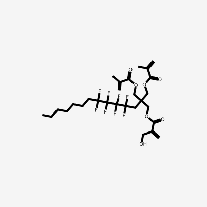 C=C(C)C(=O)OCC(COC(=O)C(=C)C)(COC(=O)C(=C)CO)CC(F)(F)C(F)(F)C(F)(F)C(F)(F)CCCCCCC